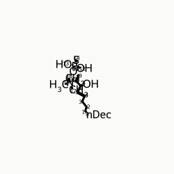 CCCCCCCCCCCCCC=CC(O)C(COP(O)(O)=S)[N+](C)(C)C